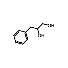 OCC(O)[CH]c1ccccc1